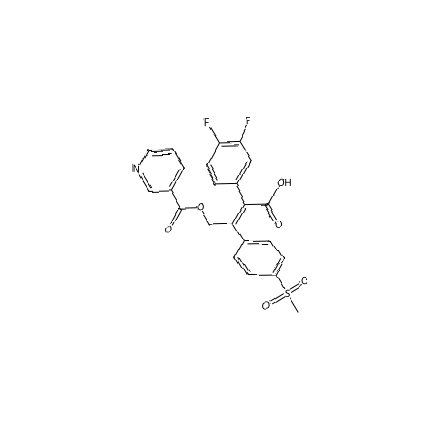 CS(=O)(=O)c1ccc(C(COC(=O)c2cccnc2)=C(C(=O)O)c2ccc(F)c(F)c2)cc1